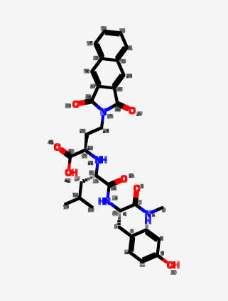 CNC(=O)[C@H](Cc1ccc(O)cc1)NC(=O)[C@H](CC(C)C)N[C@H](CCN1C(=O)c2cc3ccccc3cc2C1=O)C(=O)O